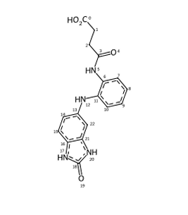 O=C(O)CCC(=O)Nc1ccccc1Nc1ccc2[nH]c(=O)[nH]c2c1